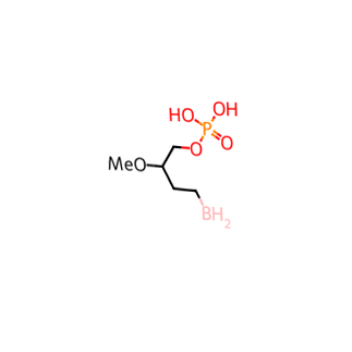 BCCC(COP(=O)(O)O)OC